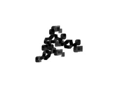 COc1ccc(Cl)cc1S(=O)(=O)N1CCc2c(OC)cc(C(=O)Nc3ccc(C(=O)O)cc3)cc21